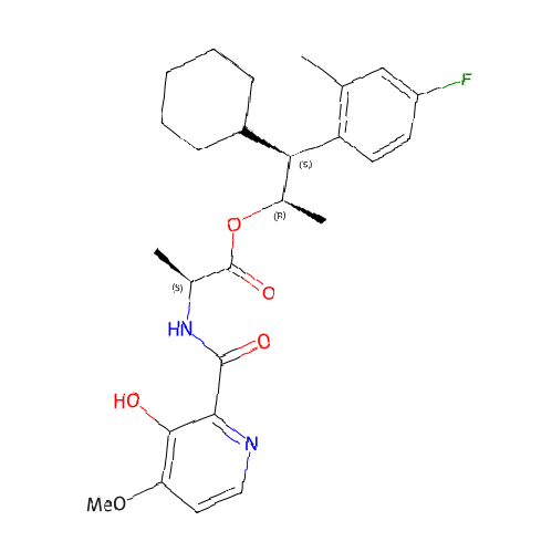 COc1ccnc(C(=O)N[C@@H](C)C(=O)O[C@H](C)[C@H](c2ccc(F)cc2C)C2CCCCC2)c1O